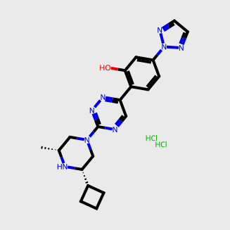 C[C@@H]1CN(c2ncc(-c3ccc(-n4nccn4)cc3O)nn2)C[C@H](C2CCC2)N1.Cl.Cl